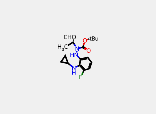 C[C@@H](C=O)N(Nc1cccc(F)c1NC1CC1)C(=O)OC(C)(C)C